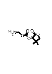 CC1(C)COC(=O)[C@@H]1OC(=O)OCN